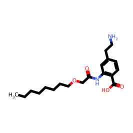 CCCCCCCCOCC(=O)Nc1cc(CCN)ccc1C(=O)O